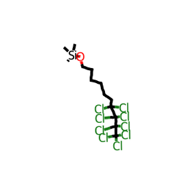 C[Si](C)(C)OCCCCCCC(Cl)(Cl)C(Cl)(Cl)C(Cl)(Cl)C(Cl)(Cl)Cl